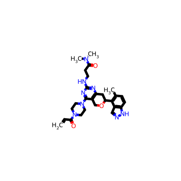 C=CC(=O)N1CCN(c2nc(NCCC(=O)N(C)C)nc3c2COC(c2c(C)ccc4[nH]ncc24)C3)CC1